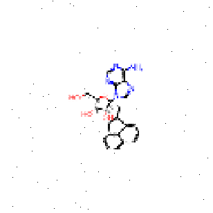 Nc1ncnc2c1ncn2[C@]1(CC2Cc3cccc4cccc2c34)O[C@H](CO)[C@@H](O)[C@H]1O